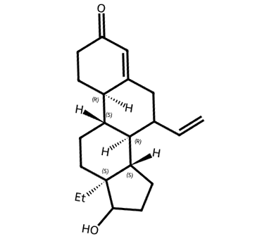 C=CC1CC2=CC(=O)CC[C@@H]2[C@H]2CC[C@]3(CC)C(O)CC[C@H]3[C@H]12